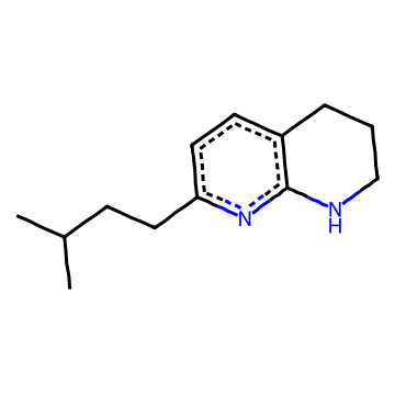 CC(C)CCc1ccc2c(n1)NCCC2